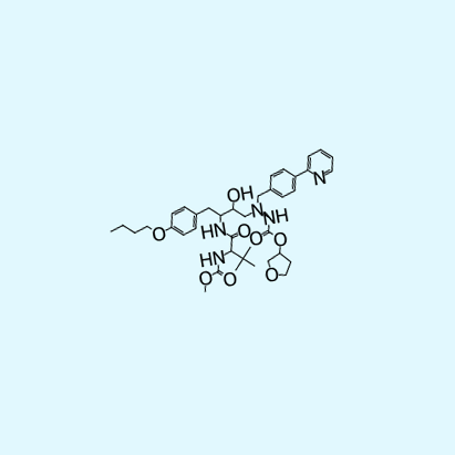 CCCCOc1ccc(CC(NC(=O)C(NC(=O)OC)C(C)(C)C)C(O)CN(Cc2ccc(-c3ccccn3)cc2)NC(=O)OC2CCOC2)cc1